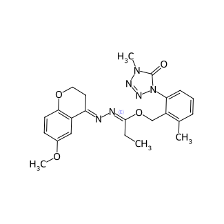 CC/C(=N\N=C1CCOc2ccc(OC)cc21)OCc1c(C)cccc1-n1nnn(C)c1=O